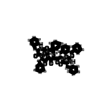 [N-]=[N+]=C(C(=O)C(=[N+]=[N-])C(=O)[C@H](Cc1ccccc1)NC(=O)[C@H](Cc1ccccc1)NC(=O)OCc1ccccc1)C(=O)[C@H](Cc1ccccc1)NC(=O)[C@H](Cc1ccccc1)NC(=O)OCc1ccccc1